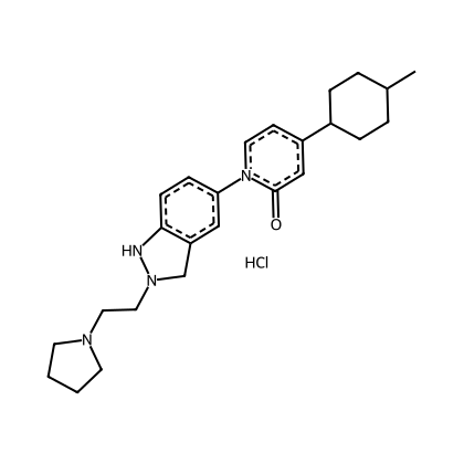 CC1CCC(c2ccn(-c3ccc4c(c3)CN(CCN3CCCC3)N4)c(=O)c2)CC1.Cl